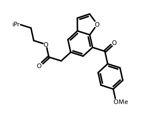 COc1ccc(C(=O)c2cc(CC(=O)OCCC(C)C)cc3ccoc23)cc1